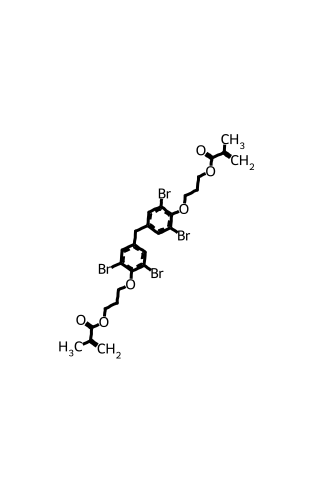 C=C(C)C(=O)OCCCOc1c(Br)cc(Cc2cc(Br)c(OCCCOC(=O)C(=C)C)c(Br)c2)cc1Br